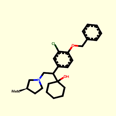 CN[C@@H]1CCN(CC(c2ccc(OCc3ccccc3)c(Cl)c2)C2(O)CCCCC2)C1